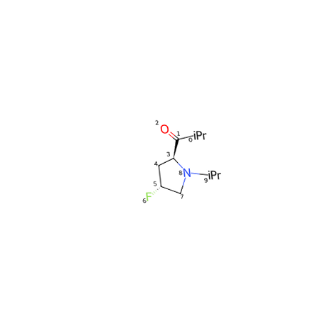 CC(C)C(=O)[C@@H]1C[C@@H](F)CN1C(C)C